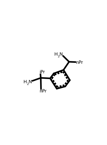 CCCC(N)c1cccc(C(N)(CCC)C(C)C)c1